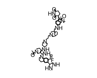 CNCC(C=N)c1cc2c(cc1C(F)F)N(C(N)C1=C(NC3CCN(CCCN4CCOC(CNc5ccc6c(c5)n(C)c(=O)n6C5CCC(=O)NC5=O)C4)CC3)CCN(C(C)=O)C1)CCC2